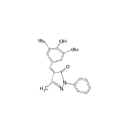 CC1=NN(c2ccccc2)C(=O)C1=Cc1cc(C(C)(C)C)c(O)c(C(C)(C)C)c1